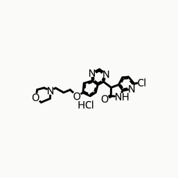 Cl.O=C1Nc2nc(Cl)ccc2C1c1ncnc2cc(OCCCN3CCOCC3)ccc12